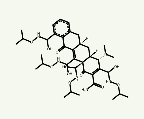 CC(C)ONC(O)C1=C(C(N)=O)C(=O)[C@]2(C(O)NOC(C)C)C(C(O)NOC(C)C)=C3C(=O)c4c(cccc4C(O)NOC(C)C)C[C@H]3C[C@@H]2[C@@H]1N(C)C